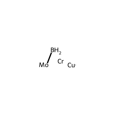 [BH2][Mo].[Cr].[Cu]